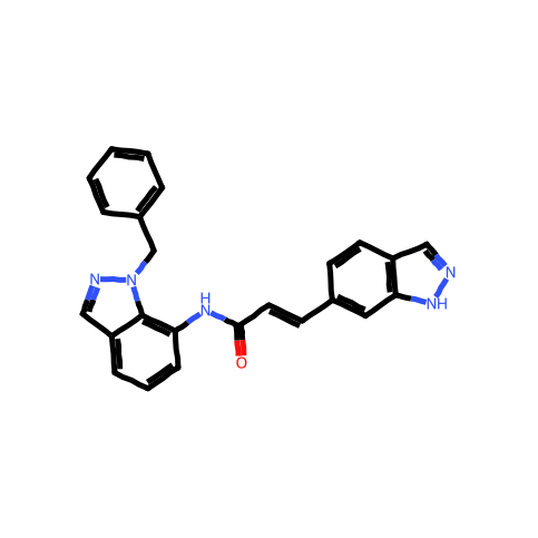 O=C(C=Cc1ccc2cn[nH]c2c1)Nc1cccc2cnn(Cc3ccccc3)c12